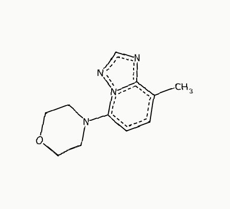 Cc1ccc(N2CCOCC2)n2ncnc12